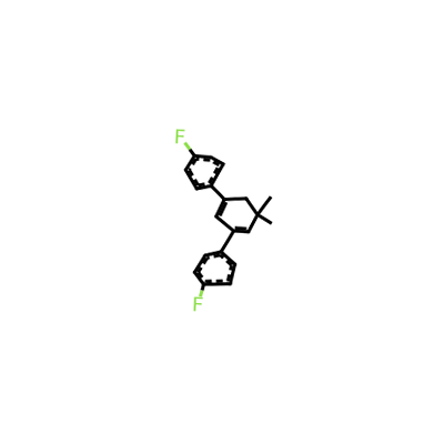 CC1(C)C=C(c2ccc(F)cc2)C=C(c2ccc(F)cc2)C1